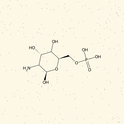 NC1[C@H](O)C(O)[C@@H](COP(=O)(O)O)O[C@H]1O